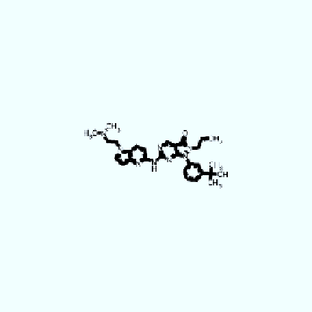 C=CCn1c(=O)c2cnc(Nc3ccc4c(ccn4CCN(C)C)n3)nc2n1-c1cccc(C(C)(C)O)c1